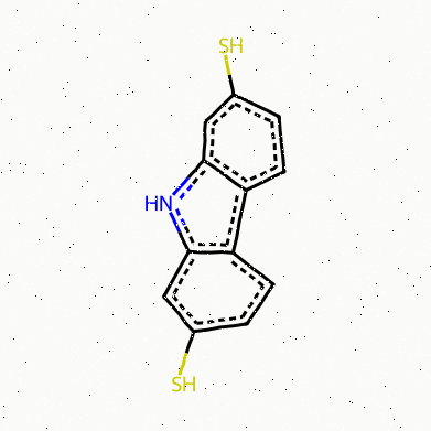 Sc1ccc2c(c1)[nH]c1cc(S)ccc12